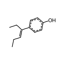 CCC=C(CC)c1ccc(O)cc1